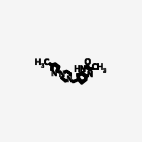 Cc1ccc(N2CCN(Cc3ccc4nc(C)c(=O)[nH]c4c3)CC2)nc1